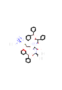 CC(C)=C(C(=O)OC(c1ccccc1)c1ccccc1)N1C(=O)[C@@H](NC(=O)C(C(=O)OC(c2ccccc2)c2ccccc2)c2ccccc2)[C@H]1OCC(O)CSc1nnnn1C